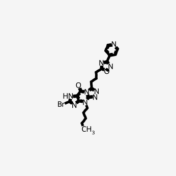 CCCCCn1c2nc(Br)[nH]c2c(=O)n2c(CCCc3nc(-c4ccncc4)no3)nnc12